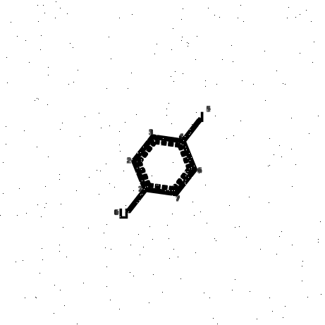 [Li][c]1ccc(I)cc1